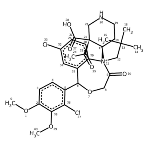 COc1ccc(C2OCC(=O)[N+](CC(C)(C)C)([C@@H]3CCNC[C@@]3(C(C)=O)C(=O)O)c3ccc(Cl)cc32)c(Cl)c1OC